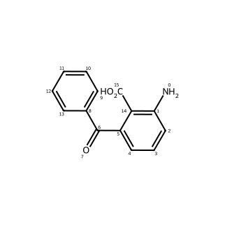 Nc1cccc(C(=O)c2ccccc2)c1C(=O)O